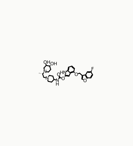 C[C@@H](CN1CCC(NC(=O)Oc2cc3c(OCc4coc5ccc(F)cc45)cccc3[nH]2)CC1)N1CCC(O)C(O)C1